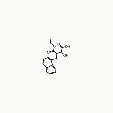 CCOC(=O)[C@H](Cc1cccc2ccccc12)[C@H](O)C(=O)O